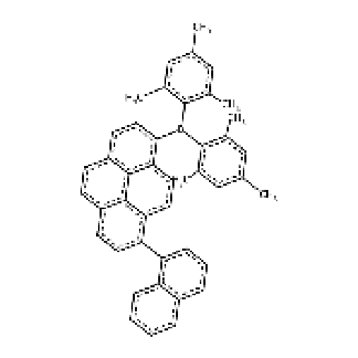 Cc1cc(C)c(B(c2c(C)cc(C)cc2C)c2ccc3ccc4ccc(-c5cccc6ccccc56)c5ccc2c3c45)c(C)c1